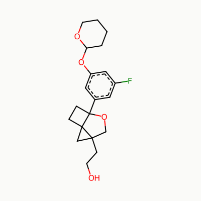 OCCC12COC3(c4cc(F)cc(OC5CCCCO5)c4)CCC13C2